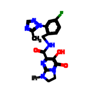 Cc1ncnn1-c1cc(F)ccc1CNC(=O)c1nc2n(c(=O)c1O)CCN2C(C)C